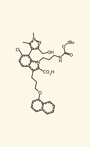 Cc1c(-c2c(Cl)ccc3c(CCCOc4cccc5ccccc45)c(C(=O)O)n(CCCNC(=O)OC(C)(C)C)c23)c(CO)nn1C